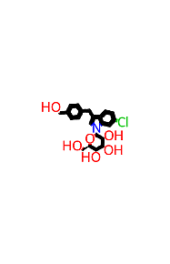 OCc1ccc(Cc2cn([C@@H]3O[C@H](CO)[C@@H](O)[C@H](O)[C@H]3O)c3cc(Cl)ccc23)cc1